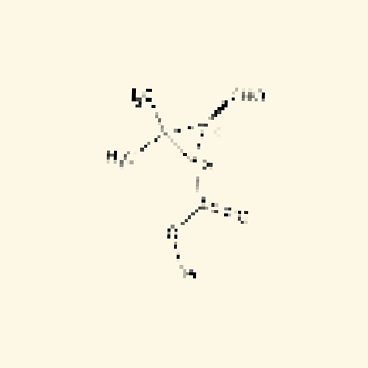 CC(C)OC(=O)[C@H]1[C@H](C=O)C1(C)C